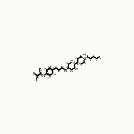 CCCCC[Si@H]1CC[C@H]([C@H]2CC[C@H](CCCCc3ccc(OC(F)=C(F)F)cc3)CC2)CC1